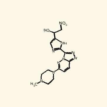 CN1CCN(c2ccc3nnc(-c4ncc(C(O)C[N+](=O)[O-])[nH]4)n3n2)CC1